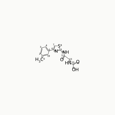 Cc1cccc(-c2csc(NC(=O)CNC(=O)O)n2)c1